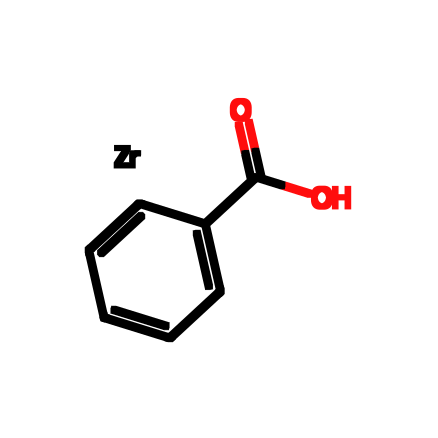 O=C(O)c1ccccc1.[Zr]